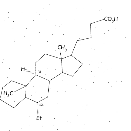 CC[C@H]1CC2C3CCC(CCCC(=O)O)C3(C)CC[C@@H]2C2(C)CCCCC12